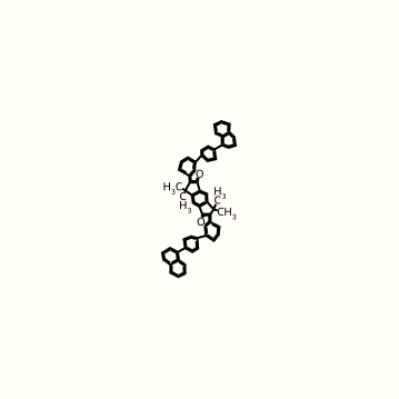 CC1(C)c2cc3c(cc2-c2oc4c(-c5ccc(-c6cccc7ccccc67)cc5)cccc4c21)C(C)(C)c1c-3oc2c(-c3ccc(-c4cccc5ccccc45)cc3)cccc12